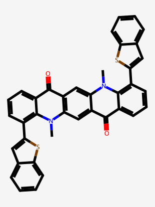 Cn1c2cc3c(=O)c4cccc(-c5cc6ccccc6s5)c4n(C)c3cc2c(=O)c2cccc(-c3cc4ccccc4s3)c21